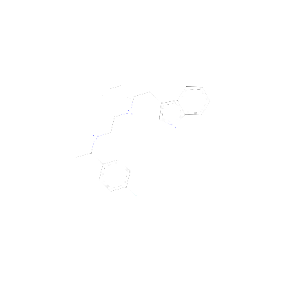 CC(NCCN[C@H](CC(=O)O)Cc1c[nH]c2ccccc12)c1ccc(F)cc1